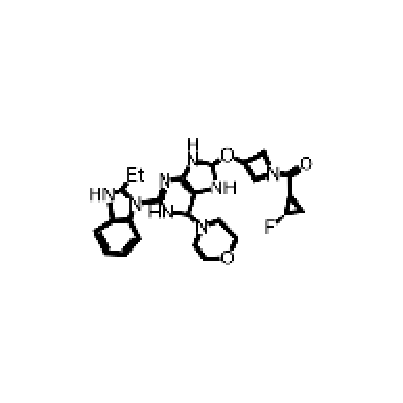 CCC1NC2C=CC=CC2N1C1=NC2=C(NC(OC3CN(C(=O)C4C[C@H]4F)C3)N2)C(N2CCOCC2)N1